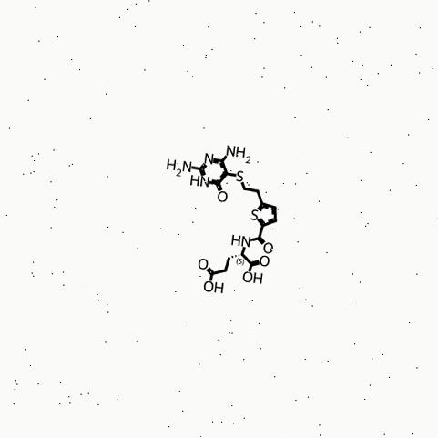 Nc1nc(N)c(SCCc2ccc(C(=O)N[C@@H](CCC(=O)O)C(=O)O)s2)c(=O)[nH]1